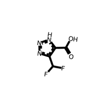 O=C(O)c1[nH]nnc1C(F)F